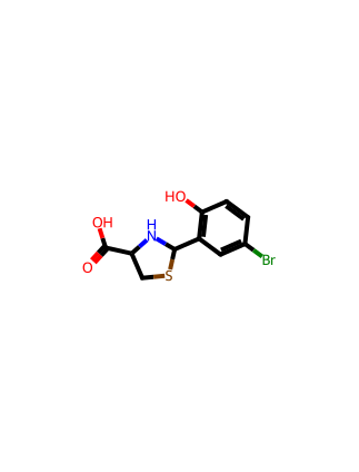 O=C(O)C1CSC(c2cc(Br)ccc2O)N1